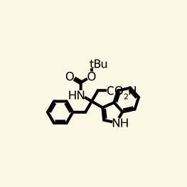 CC(C)(C)OC(=O)NC(CC(=O)O)(Cc1ccccc1)c1c[nH]c2ccccc12